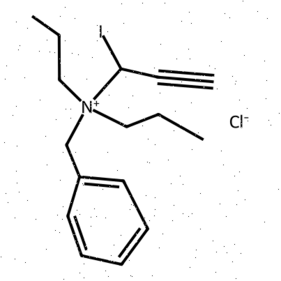 C#CC(I)[N+](CCC)(CCC)Cc1ccccc1.[Cl-]